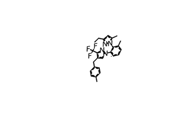 CCc1cc(C)n(-c2c(-n3cc(Cc4ccc(C)cc4)c(C(F)(F)F)n3)[c]ccc2C)n1